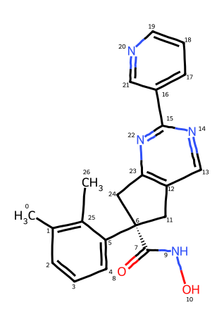 Cc1cccc([C@]2(C(=O)NO)Cc3cnc(-c4cccnc4)nc3C2)c1C